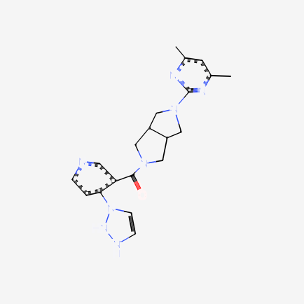 Cc1cc(C)nc(N2CC3CN(C(=O)c4cnccc4N4C=CNN4)CC3C2)n1